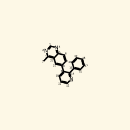 Cc1ncnc2ccc(-c3cccnc3-c3ccccc3)cc12